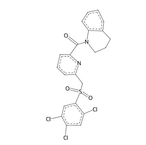 O=C(c1cccc(CS(=O)(=O)c2cc(Cl)c(Cl)cc2Cl)n1)N1CCCc2ccccc21